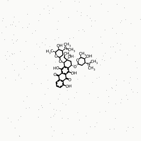 CC[C@@]1(O)C[C@H](O[C@H]2C[C@H](N(C)C)[C@H](O)[C@H](C)O2)c2c(O)c3c(c(O)c2[C@H]1OC1C[C@H](N(C)C)[C@H](O)[C@H](C)O1)C(=O)c1cccc(O)c1C3=O